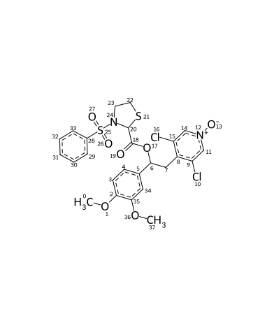 COc1ccc(C(Cc2c(Cl)c[n+]([O-])cc2Cl)OC(=O)C2SCCN2S(=O)(=O)c2ccccc2)cc1OC